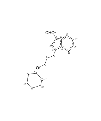 O=Cc1cn(CCCOC2CCCCO2)c2ccccc12